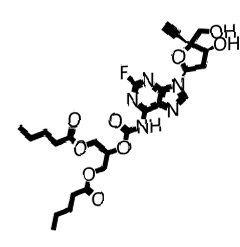 C#C[C@]1(CO)O[C@@H](n2cnc3c(NC(=O)OC(COC(=O)CCCC)COC(=O)CCCC)nc(F)nc32)C[C@@H]1O